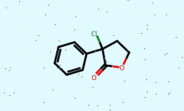 O=C1OCCC1(Cl)c1ccccc1